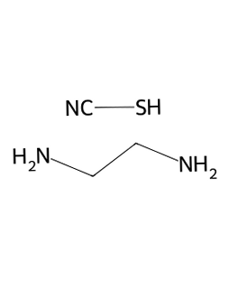 N#CS.NCCN